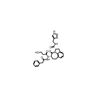 O=C(Cc1ccccc1)NN(C(=O)CCO)[C@H]1CCc2cccc3c2N(C1=O)[C@H](C(=O)NCc1c[nH]nn1)C3